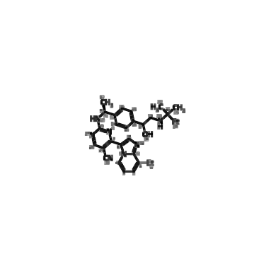 CCc1cccn2c(-c3nc(N[C@@H](C)c4ccc(C(O)CNC(C)(C)CC)cc4)ncc3C#N)cnc12